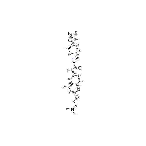 Cc1cc(OCCN(C)C)nc2ccc(NC(=O)/C=C/c3ccc(OC(F)(F)F)cc3)cc12